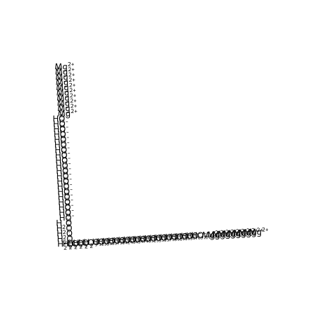 O.O.O.O.O.O.O.O.O.O.[Mg+2].[Mg+2].[Mg+2].[Mg+2].[Mg+2].[Mg+2].[Mg+2].[Mg+2].[Mg+2].[Mg+2].[Mg+2].[Mg+2].[Mg+2].[Mg+2].[Mg+2].[Mg+2].[Mg+2].[Mg+2].[Mg+2].[Mg+2].[OH-].[OH-].[OH-].[OH-].[OH-].[OH-].[OH-].[OH-].[OH-].[OH-].[OH-].[OH-].[OH-].[OH-].[OH-].[OH-].[OH-].[OH-].[OH-].[OH-].[OH-].[OH-].[OH-].[OH-].[OH-].[OH-].[OH-].[OH-].[OH-].[OH-].[OH-].[OH-].[OH-].[OH-].[OH-].[OH-].[OH-].[OH-].[OH-].[OH-]